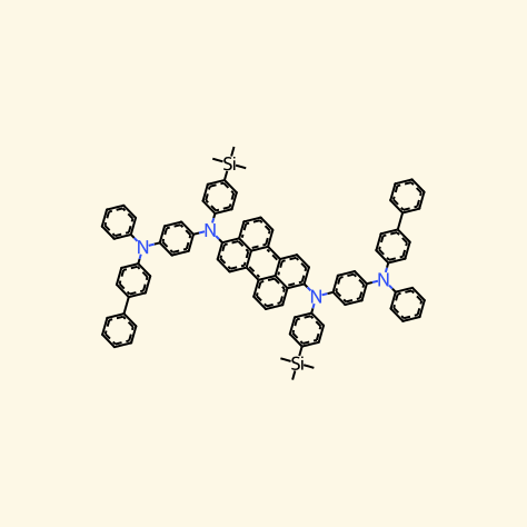 C[Si](C)(C)c1ccc(N(c2ccc(N(c3ccccc3)c3ccc(-c4ccccc4)cc3)cc2)c2ccc3c4cccc5c(N(c6ccc(N(c7ccccc7)c7ccc(-c8ccccc8)cc7)cc6)c6ccc([Si](C)(C)C)cc6)ccc(c6cccc2c63)c54)cc1